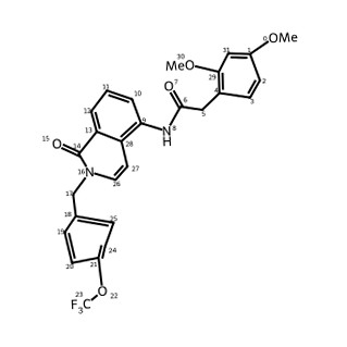 COc1ccc(CC(=O)Nc2cccc3c(=O)n(Cc4ccc(OC(F)(F)F)cc4)ccc23)c(OC)c1